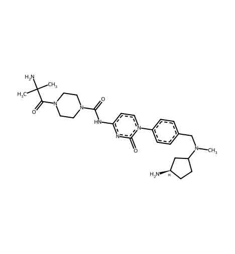 CN(Cc1ccc(-n2ccc(NC(=O)N3CCN(C(=O)C(C)(C)N)CC3)nc2=O)cc1)C1CC[C@@H](N)C1